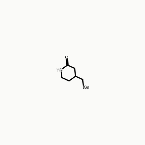 CC(C)(C)CC1CCNC(=O)C1